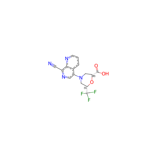 N#Cc1ncc(N2C[C@@H](C(F)(F)F)O[C@@H](C(=O)O)C2)c2cccnc12